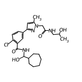 Cc1cc(-c2ccc(Cl)c(C(=O)NC(O)C3CCCCCC3)c2)nn1CC(=O)NCC(C)O